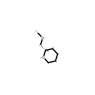 IOC[C@@H]1CCCCO1